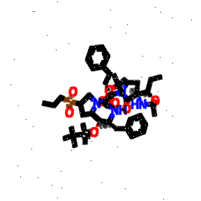 CCCS(=O)(=O)C1CC([C@@H](O[Si](C)(C)C(C)(C)C)[C@H](Cc2ccccc2)NC(=O)[C@H](CCc2ccccc2)N2CC[C@](NC(C)=O)([C@H](C)CC)C2=O)N(C(=O)OC(C)(C)C)C1